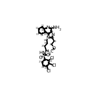 COCCc1nc2c(N)nc3ccccc3c2n1CCCCNS(=O)(=O)c1ccc(Cl)c(Cl)c1Cl